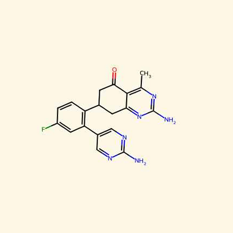 Cc1nc(N)nc2c1C(=O)CC(c1ccc(F)cc1-c1cnc(N)nc1)C2